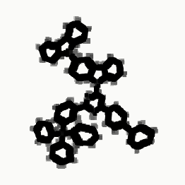 c1ccc(-c2ccc(-c3cc(-n4c5ccccc5c5cc(-n6c7ccccc7c7ccccc76)ccc54)nc(-c4cccc([Si](c5ccccc5)(c5ccccc5)c5ccccc5)c4)n3)cc2)cc1